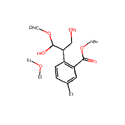 CCCCOC(=O)c1cc(CC)ccc1C(CO)C(O)OC=O.CCOCC